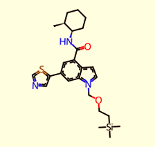 C[C@H]1CCCC[C@H]1NC(=O)c1cc(-c2cncs2)cc2c1ccn2COCC[Si](C)(C)C